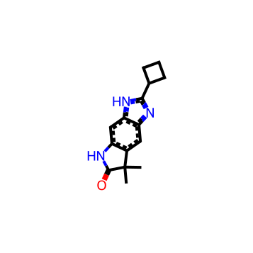 CC1(C)C(=O)Nc2cc3[nH]c(C4CCC4)nc3cc21